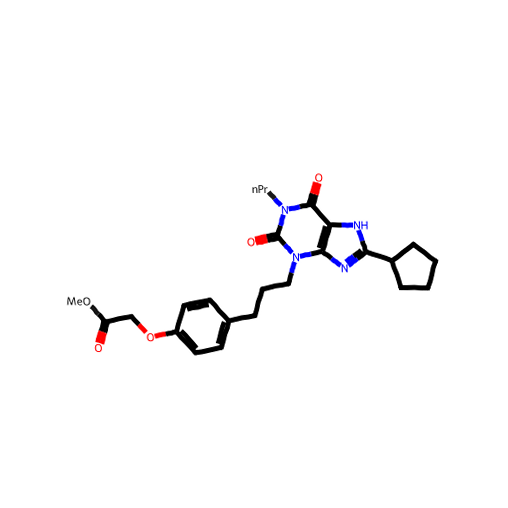 CCCn1c(=O)c2[nH]c(C3CCCC3)nc2n(CCCc2ccc(OCC(=O)OC)cc2)c1=O